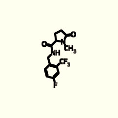 CN1C(=O)CCC1C(=O)NCc1ccc(F)cc1C(F)(F)F